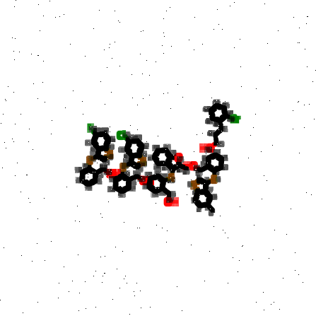 Cc1ccc2scc(Sc3ccccc3CO)c2c1.Cc1oc2ccccc2c1Sc1ccccc1CO.OCCCc1ccccc1Br.OCc1ccccc1Sc1csc2ccc(Cl)cc12.OCc1ccccc1Sc1csc2ccc(F)cc12